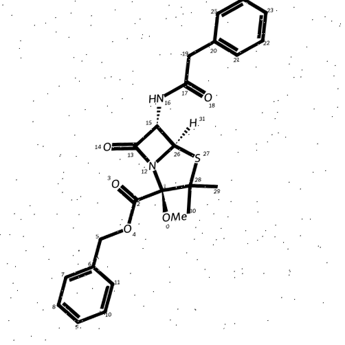 CO[C@@]1(C(=O)OCc2ccccc2)N2C(=O)[C@H](NC(=O)Cc3ccccc3)[C@H]2SC1(C)C